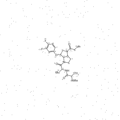 CNC(C)C(=O)NC(C(=O)N1CCC2C1C(Oc1ccc(F)c(F)c1)CN2C(=O)CC(C)C)C(C)(C)C